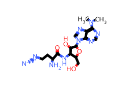 CN(C)c1ncnc2c1ncn2C1OC(CO)C(NC(=O)C(N)CCN=[N+]=[N-])C1O